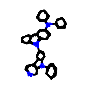 c1ccc(N(c2ccccc2)c2ccc3c(c2)c2ccccc2n3-c2ccc3c(c2)c2ccncc2n3-c2ccccc2)cc1